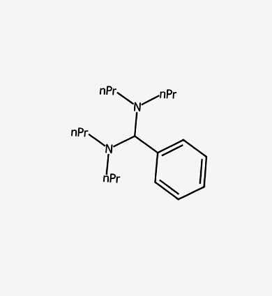 CCCN(CCC)C(c1ccccc1)N(CCC)CCC